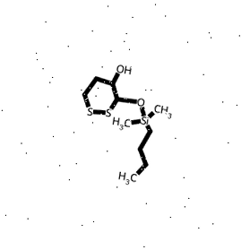 CCCC[Si](C)(C)OC1SSCCC1O